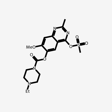 CCN1CCN(C(=O)Oc2cc3c(OS(C)(=O)=O)nc(C)nc3cc2OC)CC1